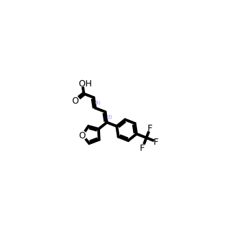 O=C(O)/C=C/C=C(/c1ccc(C(F)(F)F)cc1)c1ccoc1